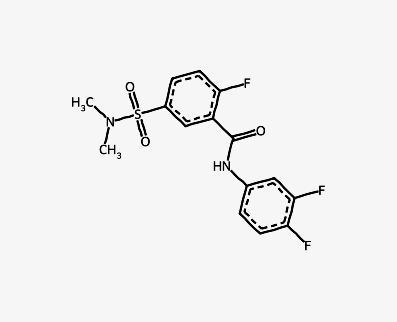 CN(C)S(=O)(=O)c1ccc(F)c(C(=O)Nc2ccc(F)c(F)c2)c1